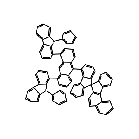 c1ccc(-n2c3ccccc3c3cccc(-c4cccc5c(-c6cccc7c6-c6ccccc6C76c7ccccc7-c7c6ccc6ccccc76)c6cccc(-c7cccc8c9ccccc9n(-c9ccccc9)c78)c6cc45)c32)cc1